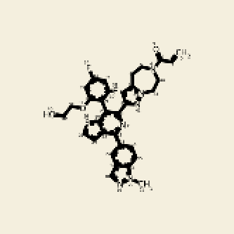 C=CC(=O)N1CCc2cc(-c3nc(-c4ccc5c(cnn5C)c4)c4ccsc4c3-c3c(F)cc(F)cc3OCCO)nn2CC1